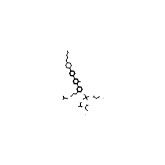 C=C(C)C(=O)OCCCc1cc(-c2c(F)cc(-c3ccc(C4CCC(CCCCC)CC4)cc3)cc2F)ccc1OCC(COC(=O)CC(=O)OC)(COC(=O)CC(=O)OC)COC(=O)C(=C)C